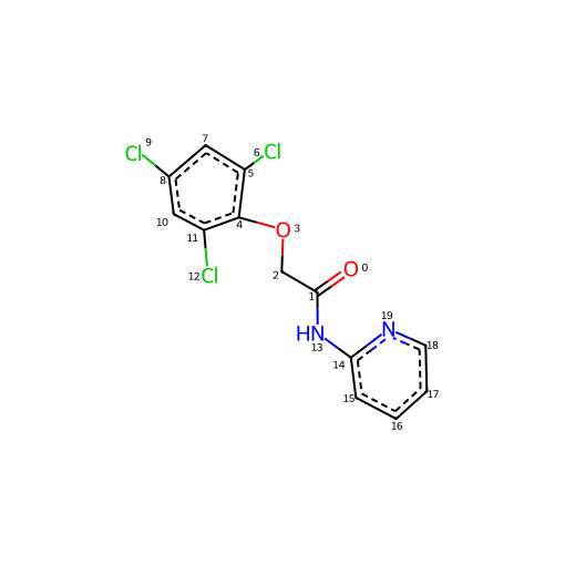 O=C(COc1c(Cl)cc(Cl)cc1Cl)Nc1ccccn1